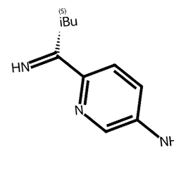 [CH2][C@@H](CC)C(=N)c1ccc(N)cn1